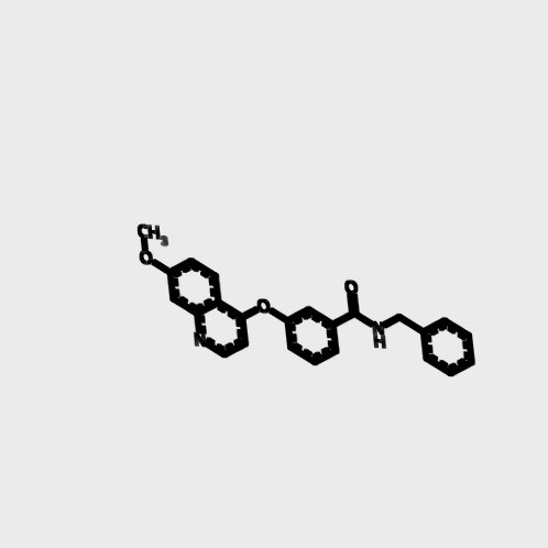 COc1ccc2c(Oc3cccc(C(=O)NCc4ccccc4)c3)ccnc2c1